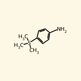 CS(C)(C)c1ccc(N)cc1